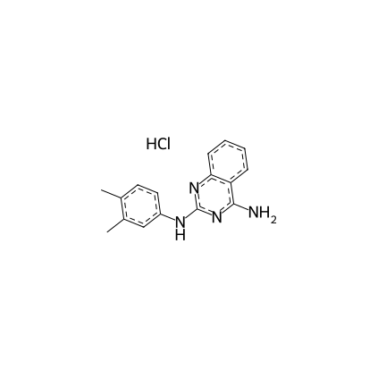 Cc1ccc(Nc2nc(N)c3ccccc3n2)cc1C.Cl